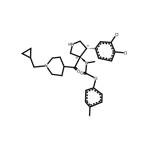 Cc1ccc(OC(=O)N(C)[C@@]2(C(=O)C3CCN(CC4CC4)CC3)CNC[C@@H]2c2ccc(Cl)c(Cl)c2)cc1